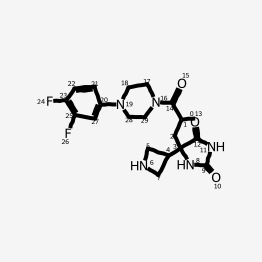 CC(CC1(C2CNC2)NC(=O)NC1=O)C(=O)N1CCN(c2ccc(F)c(F)c2)CC1